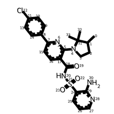 CC1CCN(c2nc(-c3ccc(Cl)cc3)ccc2C(=O)NS(=O)(=O)c2cccnc2N)C1(C)C